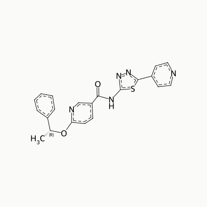 C[C@@H](Oc1ccc(C(=O)Nc2nnc(-c3ccncc3)s2)cn1)c1ccccc1